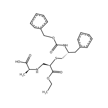 CCOC(=O)[C@@H](CN[C@@H](C)C(=O)O)SC[C@@H](Cc1ccccc1)NC(=O)OCc1ccccc1